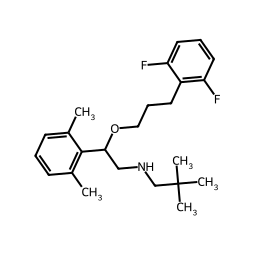 Cc1cccc(C)c1C(CNCC(C)(C)C)OCCCc1c(F)cccc1F